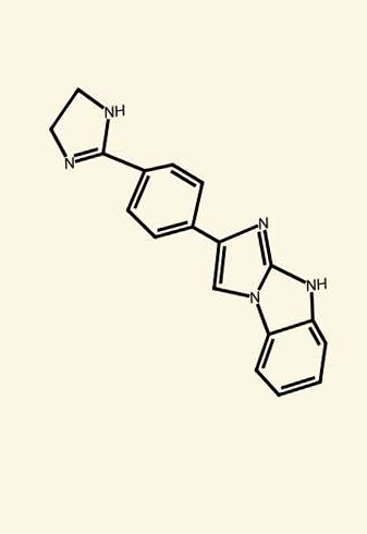 c1ccc2c(c1)[nH]c1nc(-c3ccc(C4=NCCN4)cc3)cn12